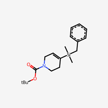 CC(C)(C)OC(=O)N1CC=C([Si](C)(C)Cc2ccccc2)CC1